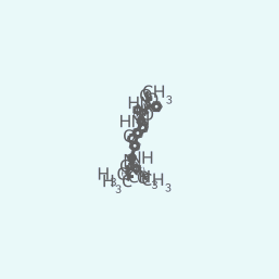 COC[C@H]1C[C@@H](c2ncc(-c3ccc4c(c3)COc3cc5c(ccc6nc([C@@H]7CCCN7C(=O)[C@H](NC(=O)OC)c7ccccc7)[nH]c65)cc3-4)[nH]2)N(C(=O)[C@@H](C)C(C)C)C1